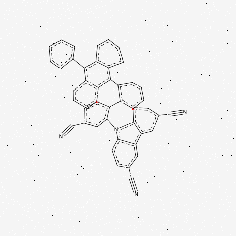 N#Cc1ccc(-c2ccccc2-c2c3ccccc3c(-c3ccccc3)c3ccccc23)c(-n2c3ccc(C#N)cc3c3cc(C#N)ccc32)c1